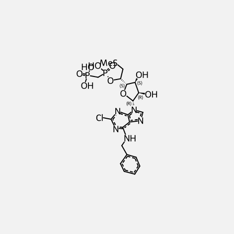 CSCC(OP(=O)(O)CP(=O)(O)O)[C@H]1O[C@@H](n2cnc3c(NCc4ccccc4)nc(Cl)nc32)[C@H](O)[C@@H]1O